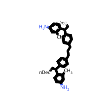 CCCCCCCCCCCC(c1ccc(CCCc2ccc(C(CCCCCCCCCCC)c3ccc(N)cc3C)cc2)cc1)c1ccc(N)cc1C